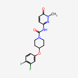 Cn1nc(NC(=O)N2CCC(Oc3ccc(F)c(F)c3)CC2)ccc1=O